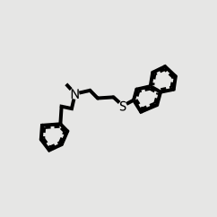 CN(CCCSc1ccc2ccccc2c1)CCc1ccccc1